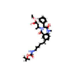 CCOC(=O)CC(C)N1C(=O)c2cc(CCCCCNC(=O)OC(C)(C)C)ccc2N(C)C(=O)C1c1ccccc1